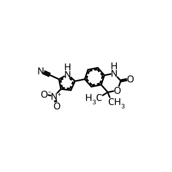 CC1(C)OC(=O)Nc2ccc(-c3cc([N+](=O)[O-])c(C#N)[nH]3)cc21